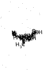 CCCNc1nc(NCCc2ccncc2)ncc1C(=O)Nc1cccc(NC(=O)CNC(=O)O)c1